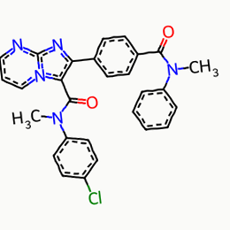 CN(C(=O)c1ccc(-c2nc3ncccn3c2C(=O)N(C)c2ccc(Cl)cc2)cc1)c1ccccc1